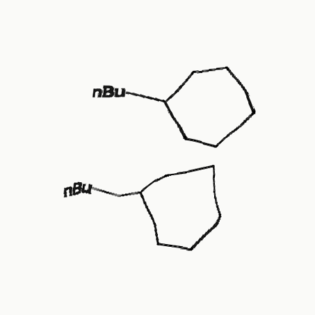 CCCCC1CCCCC1.CCCCC1CCCCC1